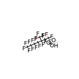 O=S(=O)(O)C(F)(F)C(F)(F)C(F)(C(F)(F)F)C(F)(F)C(F)(F)C(F)(F)C(F)(F)F